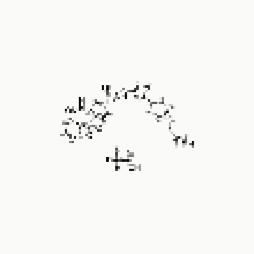 O=C(NCc1cnc(-c2ccc(OCC3CNC3)cc2)s1)c1ccc2c(c1)NC(=O)c1ccccc1S2(=O)=O.O=C(O)C(F)(F)F